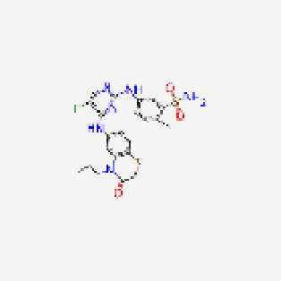 CCCN1C(=O)CSc2ccc(Nc3nc(Nc4ccc(C)c(S(N)(=O)=O)c4)ncc3F)cc21